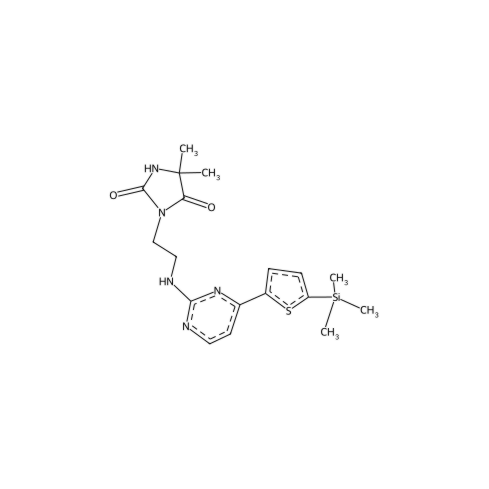 CC1(C)NC(=O)N(CCNc2nccc(-c3ccc([Si](C)(C)C)s3)n2)C1=O